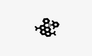 Cc1cccc(C)c1B1c2ccccc2-c2cc(C(C)C)c3ccc4ccc(C(C)C)c5cc1c2c3c45